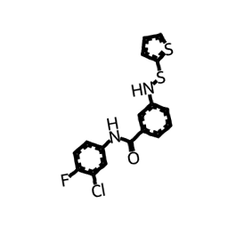 O=C(Nc1ccc(F)c(Cl)c1)c1cccc(NSc2cccs2)c1